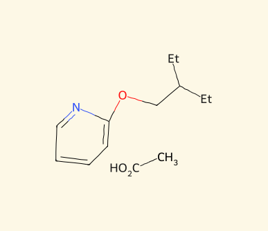 CC(=O)O.CCC(CC)COc1ccccn1